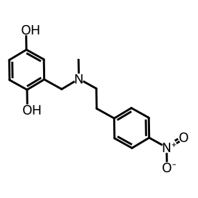 CN(CCc1ccc([N+](=O)[O-])cc1)Cc1cc(O)ccc1O